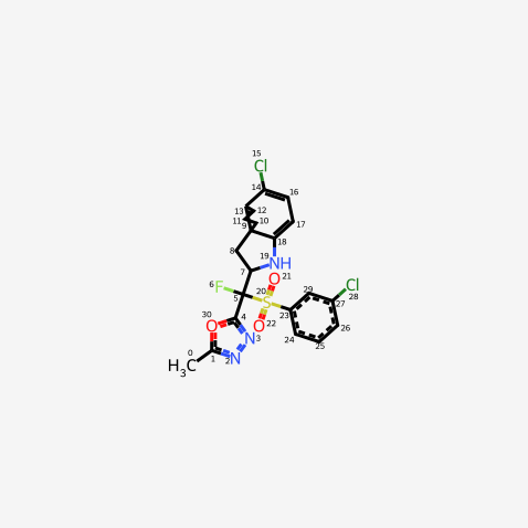 Cc1nnc(C(F)(C2CC34CCC=C3C(Cl)=CC=C4N2)S(=O)(=O)c2cccc(Cl)c2)o1